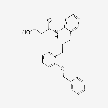 O=C(CCO)Nc1ccccc1CCCc1ccccc1OCc1ccccc1